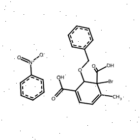 CC1=CC=C(C(=O)O)C(OCc2ccccc2)C1(Br)C(=O)O.O=[N+]([O-])c1ccccc1